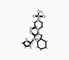 CS(=O)(=O)N1CCN([C@@H](CC2CCCCC2)C(=O)Nc2nccs2)C(=O)C1